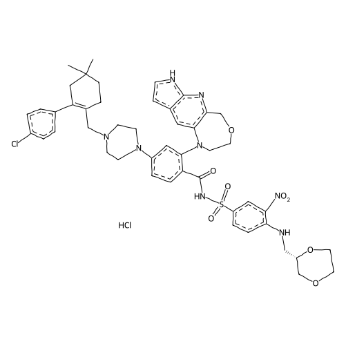 CC1(C)CCC(CN2CCN(c3ccc(C(=O)NS(=O)(=O)c4ccc(NC[C@H]5COCCO5)c([N+](=O)[O-])c4)c(N4CCOCc5nc6[nH]ccc6cc54)c3)CC2)=C(c2ccc(Cl)cc2)C1.Cl